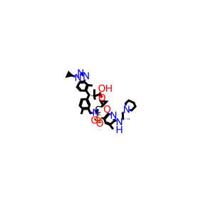 Cc1ccc([C@H](c2ccc3c(nnn3C3CC3)c2C)C(C)(C)C(=O)O)cc1CN1CC2(CC2)Oc2nc(N[C@@H](C)CN3CCCCC3)c(C)cc2S1(=O)=O